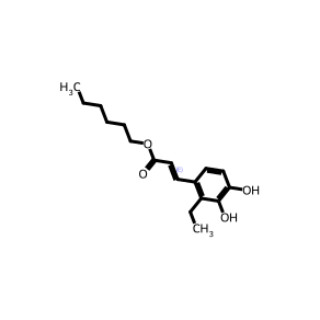 CCCCCCOC(=O)/C=C/c1ccc(O)c(O)c1CC